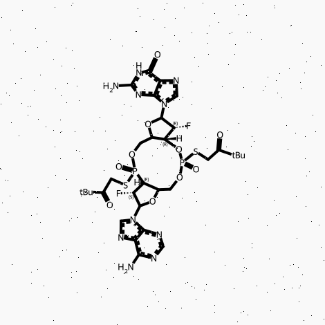 CC(C)(C)C(=O)CSP1(=O)OCC2OC(n3cnc4c(N)ncnc43)[C@H](F)[C@@H]2P(=O)(SCC(=O)C(C)(C)C)OCC2OC(n3cnc4c(=O)[nH]c(N)nc43)[C@H](F)[C@@H]2O1